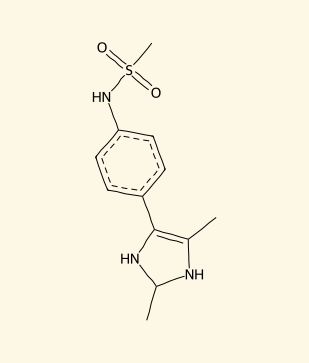 CC1=C(c2ccc(NS(C)(=O)=O)cc2)NC(C)N1